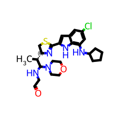 CC(C(NCC=O)N1CCOCC1)[C@@H]1CSC(c2cc3cc(Cl)cc(NC4CCCC4)c3[nH]2)=N1